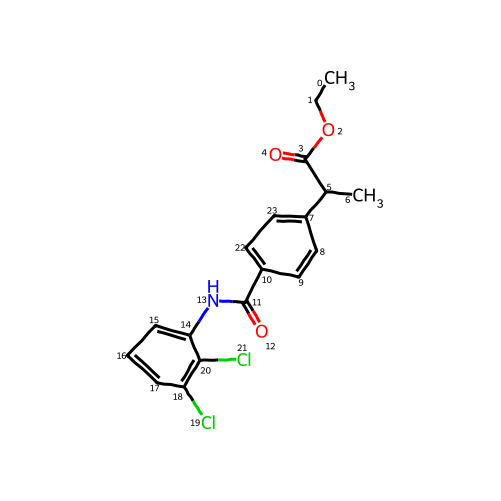 CCOC(=O)C(C)c1ccc(C(=O)Nc2cccc(Cl)c2Cl)cc1